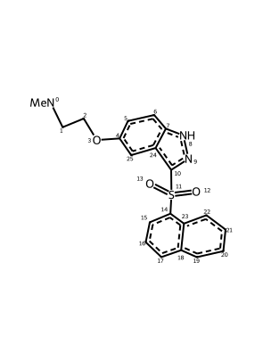 CNCCOc1ccc2[nH]nc(S(=O)(=O)c3cccc4ccccc34)c2c1